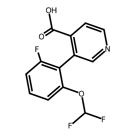 O=C(O)c1ccncc1-c1c(F)cccc1OC(F)F